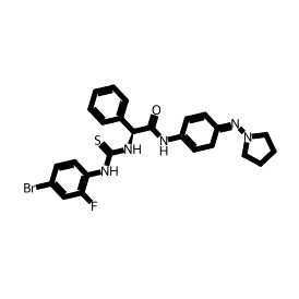 O=C(NC1=CCC(=NN2CCCC2)C=C1)[C@@H](NC(=S)Nc1ccc(Br)cc1F)c1ccccc1